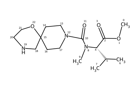 COC(=O)[C@H](C(C)C)N(C)C(=O)N1CCC2(CC1)CNCCO2